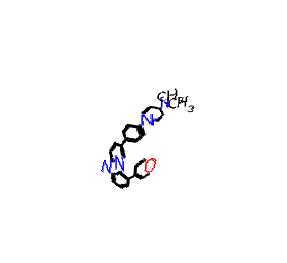 CN(C)C1CCN(c2ccc(-c3ccc4nc5cccc(C6=CCOCC6)c5n4c3)cc2)CC1